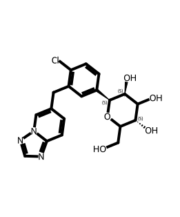 OCC1O[C@@H](c2ccc(Cl)c(Cc3ccc4ncnn4c3)c2)[C@@H](O)C(O)[C@@H]1O